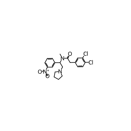 CN(C(=O)Cc1ccc(Cl)c(Cl)c1)C(CN1CCCC1)c1cccc([N+](=O)[O-])c1